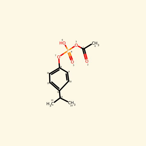 CC(=O)OP(=O)(O)Oc1ccc(C(C)C)cc1